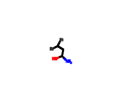 CCC(CC)C[C@@H](N)O